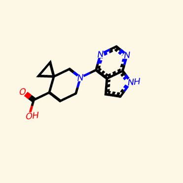 O=C(O)C1CCN(c2ncnc3[nH]ccc23)CC12CC2